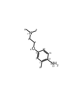 Cc1cc(OCCN(C)C)ccc1N